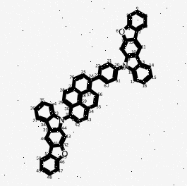 c1ccc2c(c1)oc1cc3c(cc12)c1ccccc1n3-c1ccc(-c2ccc3ccc4c(-n5c6ccccc6c6cc7c(cc65)oc5ccccc57)ccc5ccc2c3c54)cc1